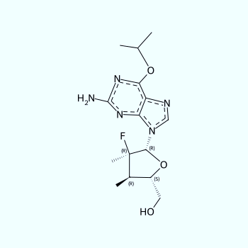 CC(C)Oc1nc(N)nc2c1ncn2[C@@H]1O[C@H](CO)[C@@H](C)[C@@]1(C)F